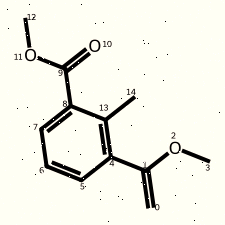 C=C(OC)c1cccc(C(=O)OC)c1C